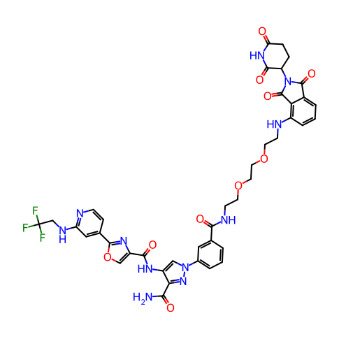 NC(=O)c1nn(-c2cccc(C(=O)NCCOCCOCCNc3cccc4c3C(=O)N(C3CCC(=O)NC3=O)C4=O)c2)cc1NC(=O)c1coc(-c2ccnc(NCC(F)(F)F)c2)n1